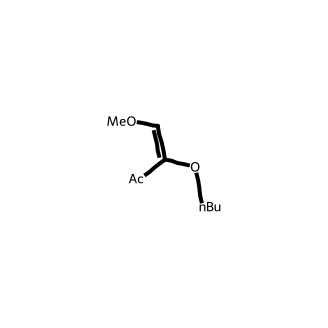 CCCCO/C(=C/OC)C(C)=O